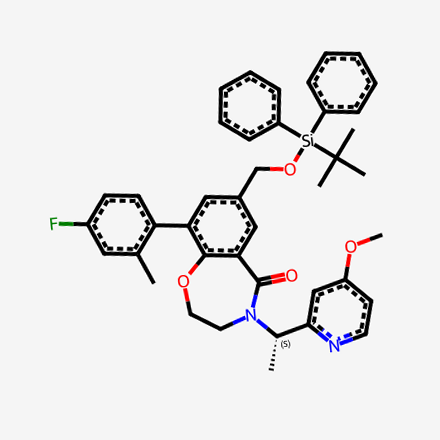 COc1ccnc([C@H](C)N2CCOc3c(cc(CO[Si](c4ccccc4)(c4ccccc4)C(C)(C)C)cc3-c3ccc(F)cc3C)C2=O)c1